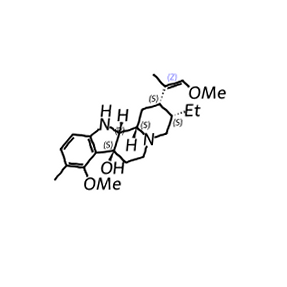 CC[C@@H]1CN2CC[C@]3(O)c4c(ccc(C)c4OC)N[C@@H]3[C@@H]2C[C@@H]1/C(C)=C\OC